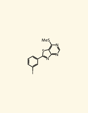 CSc1ncnc2nc(-c3cccc(I)c3)sc12